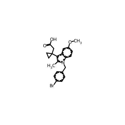 COc1ccc2c(c1)c(C1(CC(=O)O)CC1)c(C)n2Cc1ccc(Br)cc1